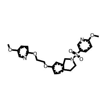 COc1ccc(OCCOc2ccc3c(c2)CN(S(=O)(=O)c2ccc(OC)nc2)CC3)nc1